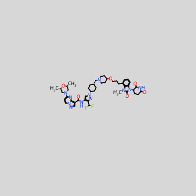 C[C@H]1CN(c2ccn3ncc(C(=O)Nc4cn([C@H]5CC[C@H](CN6CCC(OCCCc7cccc8c7n(C)c(=O)n8C7CCC(=O)NC7=O)CC6)CC5)nc4C(F)F)c3n2)C[C@H](C)O1